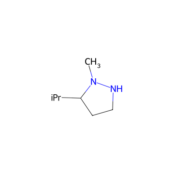 CC(C)C1CCNN1C